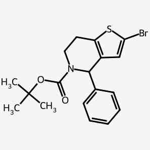 CC(C)(C)OC(=O)N1CCc2sc(Br)cc2C1c1ccccc1